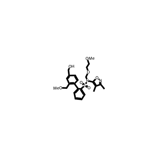 COCCOCN(c1onc(C)c1C)S(=O)(=O)c1ccccc1-c1ccc(CO)cc1COC